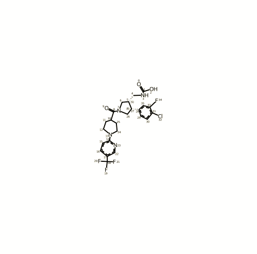 O=C(O)NC[C@H]1CN(C(=O)C2CCN(c3ccc(C(F)(F)F)cn3)CC2)C[C@H]1c1ccc(Cl)c(F)c1